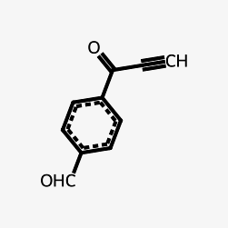 C#CC(=O)c1ccc(C=O)cc1